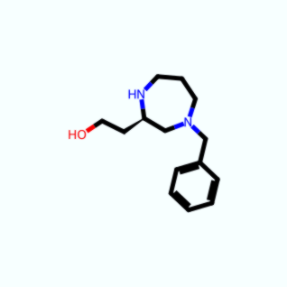 OCC[C@@H]1CN(Cc2ccccc2)CCCN1